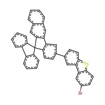 Brc1ccc2sc3ccc(-c4ccc5c(c4)-c4cc6ccccc6cc4C54c5ccccc5-c5ccccc54)cc3c2c1